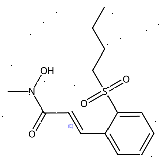 CCCCS(=O)(=O)c1ccccc1/C=C/C(=O)N(C)O